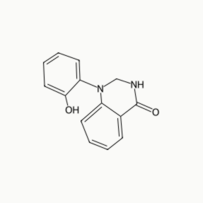 O=C1NCN(c2ccccc2O)c2ccccc21